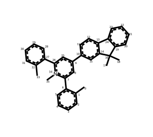 Cc1ccccc1-c1cc(-c2ccc3c(c2)C(C)(C)c2ccccc2-3)cc(-c2ccccc2C)[n+]1C